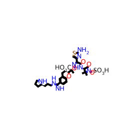 CC1(C)[C@H](NC(=O)/C(=N\O[C@](C)(C(=O)O)[C@H]2CCc3cc(C(=N)NCCC[C@H]4CCCN4)ccc3O2)c2csc(N)n2)C(=O)N1OS(=O)(=O)O